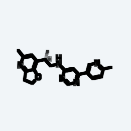 Cc1ccc(-c2cc(NC[C@@H](C)c3cc(C)nc4c3OCC4)ncn2)cn1